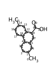 Cc1ccc2c(c1)cc(C(=O)O)c1cc(C)ccc12